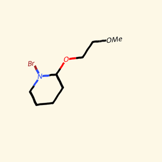 COCCOC1CCCCN1Br